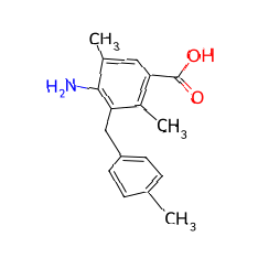 Cc1ccc(Cc2c(C)c(C(=O)O)cc(C)c2N)cc1